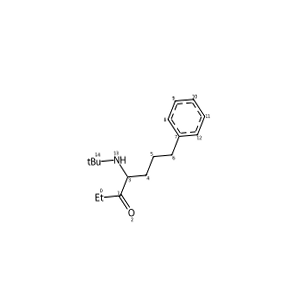 CCC(=O)C(CCCc1ccccc1)NC(C)(C)C